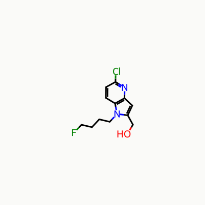 OCc1cc2nc(Cl)ccc2n1CCCCF